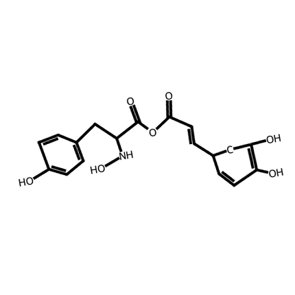 O=C(C=CC1C=CC(O)=C(O)C1)OC(=O)C(Cc1ccc(O)cc1)NO